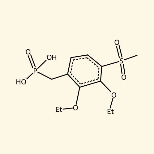 CCOc1c(CP(=O)(O)O)ccc(S(C)(=O)=O)c1OCC